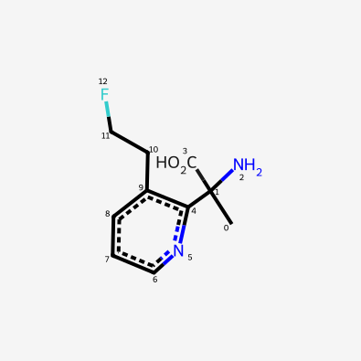 CC(N)(C(=O)O)c1ncccc1CCF